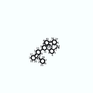 N#Cc1cccc(-c2cccc(-c3ccc4c5ccccc5n(-c5ccccc5)c4c3)c2)c1-n1c2ccccc2c2ccccc21